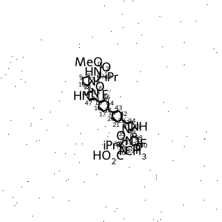 COC(=O)N[C@H](C(=O)N1CCC[C@H]1c1nc(-c2ccc(-c3ccc(-c4c[nH]c([C@@H]5CC(F)(F)CN5C(=O)[C@H](C(C)C)N(C)C(=O)O)n4)cc3)cc2F)c[nH]1)C(C)C